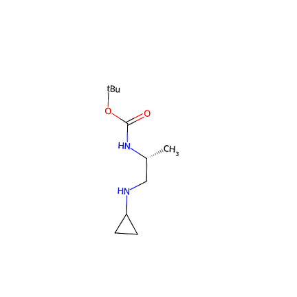 C[C@H](CNC1CC1)NC(=O)OC(C)(C)C